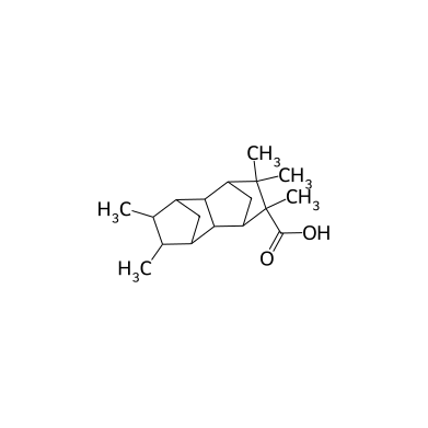 CC1C(C)C2CC1C1C2C2CC1C(C)(C)C2(C)C(=O)O